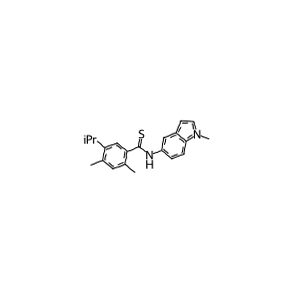 Cc1cc(C)c(C(C)C)cc1C(=S)Nc1ccc2c(ccn2C)c1